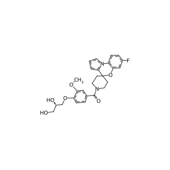 COc1cc(C(=O)N2CCC3(CC2)Oc2cc(F)ccc2-n2cccc23)ccc1OC[C@H](O)CO